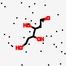 O=CCC(O)C(O)CCO